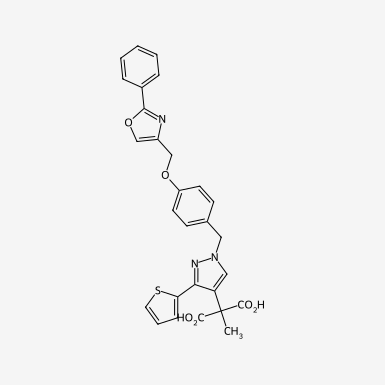 CC(C(=O)O)(C(=O)O)c1cn(Cc2ccc(OCc3coc(-c4ccccc4)n3)cc2)nc1-c1cccs1